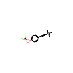 C[Si](C)(C)C#Cc1ccc(OC(F)F)cc1